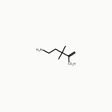 C=C(C(=O)O)C(C)(C)CC[AsH2]